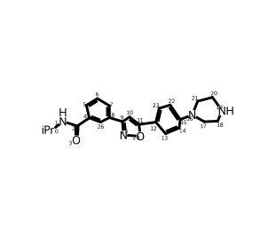 CC(C)NC(=O)c1cccc(-c2cc(-c3ccc(N4CCNCC4)cc3)on2)c1